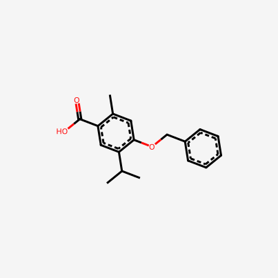 Cc1cc(OCc2ccccc2)c(C(C)C)cc1C(=O)O